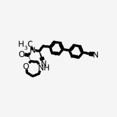 CN(C(=O)[C@@H]1CNCCCO1)[C@H](C#N)Cc1ccc(-c2ccc(C#N)cc2)cc1